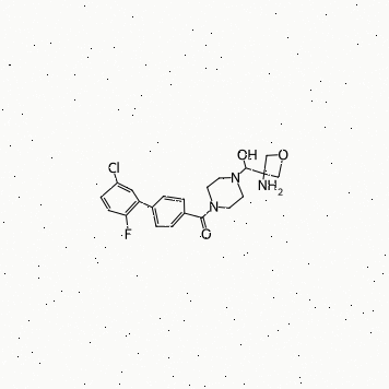 NC1(C(O)N2CCN(C(=O)c3ccc(-c4cc(Cl)ccc4F)cc3)CC2)COC1